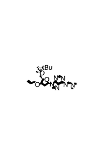 C=CCOC1C[C@H](n2cnc3c(/N=C/N(C)C)ncnc32)O[C@@H]1CO[Si](C)(C)C(C)(C)C